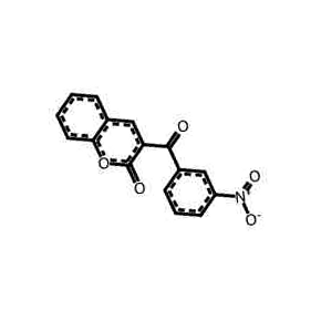 O=C(c1cccc([N+](=O)[O-])c1)c1cc2ccccc2oc1=O